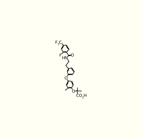 Cc1cc(Oc2cccc(CCNC(=O)c3ccc(C(F)(F)F)cc3F)c2)ccc1OC(C)(C)C(=O)O